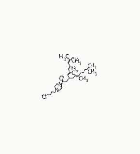 CC(C)=CCC/C(C)=C/CC(/C=C(\C)CCC=C(C)C)CC(=O)N1CCN(CCCCCl)CC1